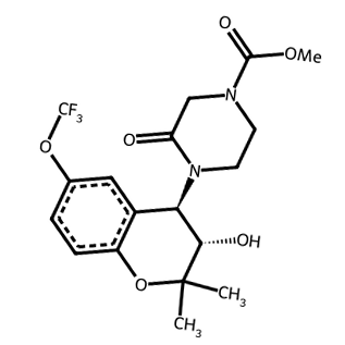 COC(=O)N1CCN([C@@H]2c3cc(OC(F)(F)F)ccc3OC(C)(C)[C@H]2O)C(=O)C1